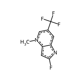 Cn1cc(C(F)(F)F)cc2nc(F)cc1-2